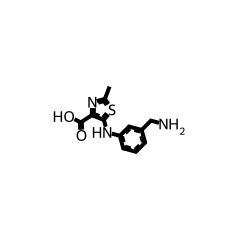 Cc1nc(C(=O)O)c(Nc2cccc(CN)c2)s1